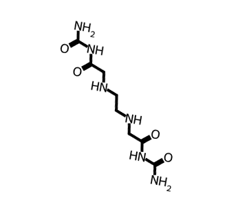 NC(=O)NC(=O)CNCCNCC(=O)NC(N)=O